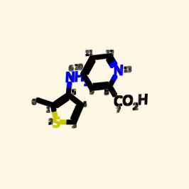 Cc1sccc1N.O=C(O)c1ccccn1